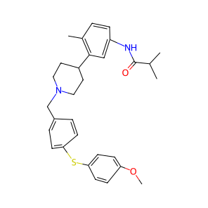 COc1ccc(Sc2ccc(CN3CCC(c4cc(NC(=O)C(C)C)ccc4C)CC3)cc2)cc1